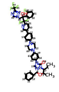 CCC(C(C)OCc1ccccc1)n1ncn(-c2ccc(N3CCN(c4ccc(-c5ccc(C(F)(F)C(O)(Cn6cnc(C(F)(F)F)n6)c6ccccc6F)nc5)cc4)CC3)cc2)c1=O